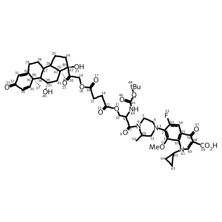 COc1c(N2CCN(C(=O)C(COC(=O)CCC(=O)OCC(=O)[C@@]3(O)CCC4C5CCC6=CC(=O)C=C[C@]6(C)C5[C@@H](O)C[C@@]43C)NC(=O)OC(C)(C)C)C(C)C2)c(F)cc2c(=O)c(C(=O)O)cn(C3CC3)c12